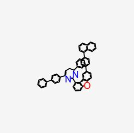 C1=C(c2ccc(-c3ccccc3)cc2)N=C(c2cccc3oc4ccc(-c5ccc(-c6cccc7ccccc67)cc5)cc4c23)N=C(c2ccccc2)C1